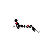 CC(C)(CN1CCC(N2CCC(N3CC(N4CCC(n5nc(-c6ccc(Oc7ccccc7)cc6)c6c(N)ncnc65)CC4)C3)CC2)CC1)C1CCN(C(=O)O)CC1